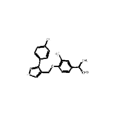 Cc1cc(C(C)C=O)ccc1OCc1c[nH]nc1-c1ccc(C(F)(F)F)cc1